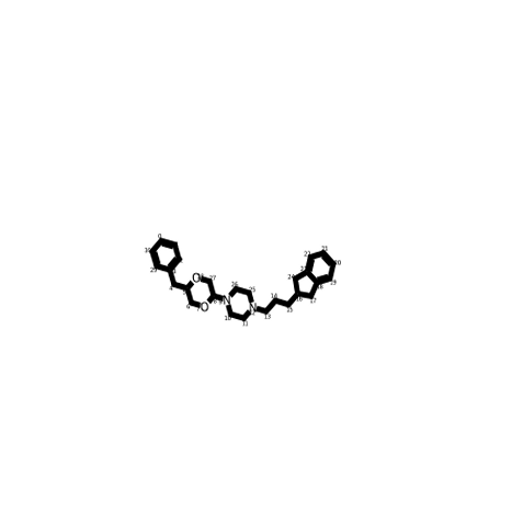 c1ccc(CC2COC(N3CCN(CCCC4Cc5ccccc5C4)CC3)CO2)cc1